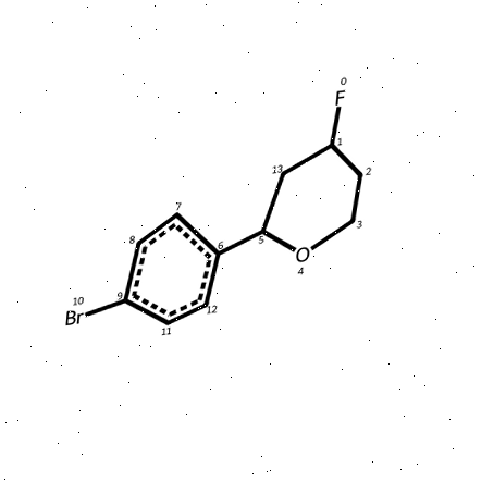 FC1CCOC(c2ccc(Br)cc2)C1